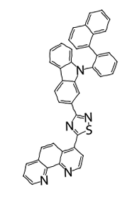 c1ccc(-n2c3ccccc3c3ccc(-c4nsc(-c5ccnc6c5ccc5cccnc56)n4)cc32)c(-c2cccc3ccccc23)c1